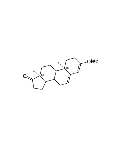 COC1=CC2=CCC3C(CC[C@]4(C)C(=O)CCC34)[C@@]2(C)CC1